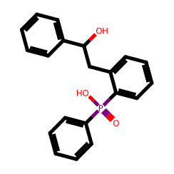 O=P(O)(c1ccccc1)c1ccccc1CC(O)c1ccccc1